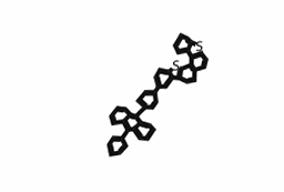 c1ccc(-c2c3ccccc3c(-c3ccc(-c4ccc5sc6c(ccc7ccc8sc9ccccc9c8c76)c5c4)cc3)c3ccccc23)cc1